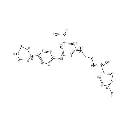 C[S+]([O-])c1nc(NCCNC(=O)c2ccc(F)cc2)cc(Nc2ccc(N3CCOCC3)cc2)n1